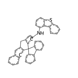 c1ccc2c(c1)-c1ccccc1C21c2cc(Nc3cccc4sc5ccccc5c34)ccc2Cc2cc3ccccc3cc21